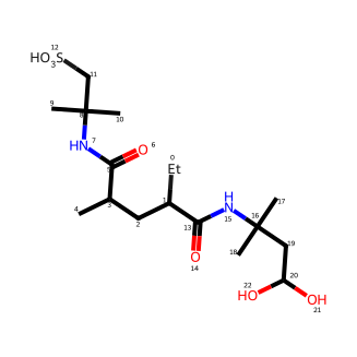 CCC(CC(C)C(=O)NC(C)(C)CS(=O)(=O)O)C(=O)NC(C)(C)CC(O)O